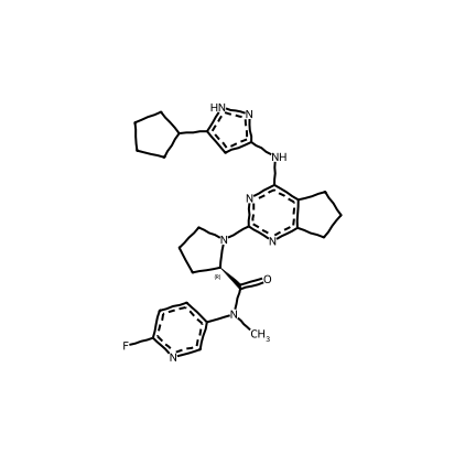 CN(C(=O)[C@H]1CCCN1c1nc2c(c(Nc3cc(C4CCCC4)[nH]n3)n1)CCC2)c1ccc(F)nc1